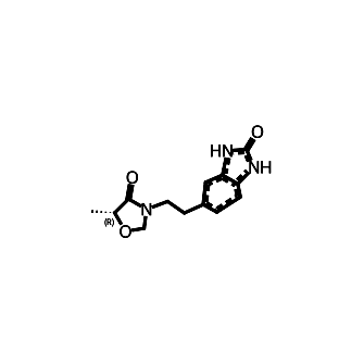 C[C@H]1OCN(CCc2ccc3[nH]c(=O)[nH]c3c2)C1=O